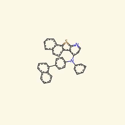 c1ccc(N(c2ccc(-c3cccc4ccccc34)cc2)c2ccnc3sc4c5ccccc5ccc4c23)cc1